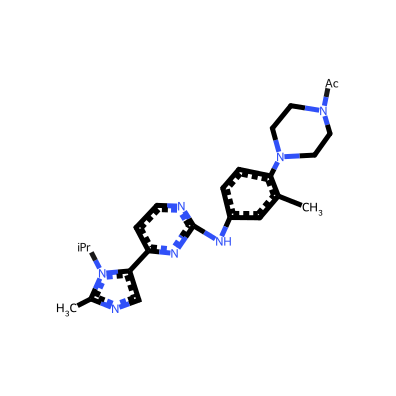 CC(=O)N1CCN(c2ccc(Nc3nccc(-c4cnc(C)n4C(C)C)n3)cc2C)CC1